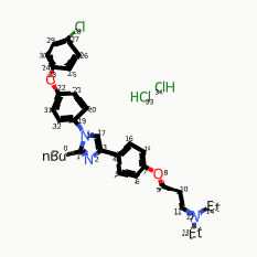 CCCCc1nc(-c2ccc(OCCCN(CC)CC)cc2)cn1-c1ccc(Oc2ccc(Cl)cc2)cc1.Cl.Cl